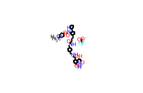 C[N+]1(C)CCC(OC(=O)Nc2cc(CCCC(=O)NCc3ccc(CNC[C@H](O)c4ccc(O)c5[nH]c(=O)ccc45)cc3)ccc2-c2ccccc2)CC1.O=C([O-])C(F)(F)F